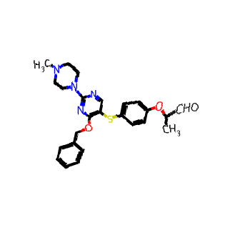 CC(C=O)Oc1ccc(Sc2cnc(N3CCN(C)CC3)nc2OCc2ccccc2)cc1